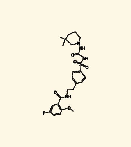 COc1ccc(F)cc1C(=O)NCCc1ccc(S(=O)(=O)NC(=O)NN2CCCC(C)(C)C2)cc1